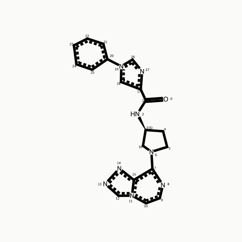 O=C(N[C@H]1CCN(c2nccn3cnnc23)C1)c1cn(-c2ccccc2)cn1